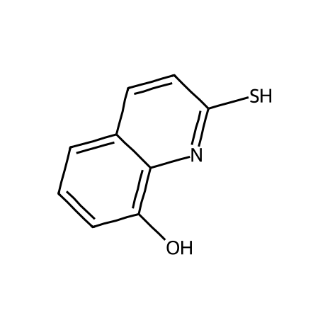 Oc1cccc2ccc(S)nc12